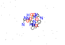 Cc1ccccc1C(C(=O)NC1CCCCC1)N(C(=O)[C@@H]1CCS(=O)(=O)N1c1cc(C#N)ccn1)c1cccc(S(=O)(=O)Nc2cc(C#N)ccn2)c1